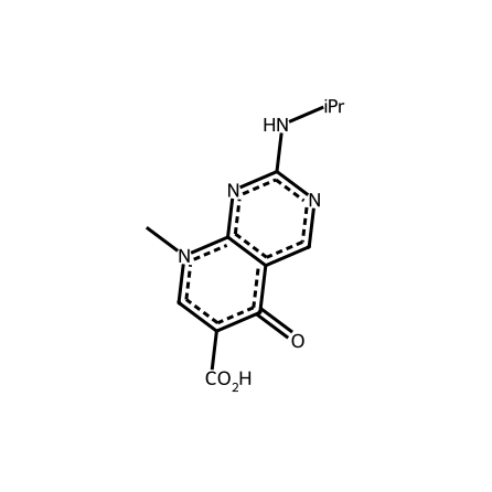 CC(C)Nc1ncc2c(=O)c(C(=O)O)cn(C)c2n1